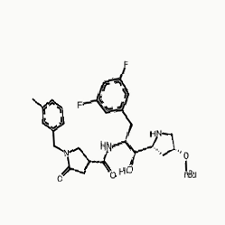 CCCCO[C@H]1CN[C@@H]([C@@H](O)[C@H](Cc2cc(F)cc(F)c2)NC(=O)C2CC(=O)N(Cc3cccc(C)c3)C2)C1